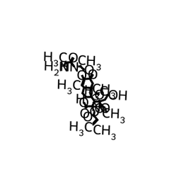 COC(=O)C1(C[C@@H](C)O)OC[C@]23C[C@@]4(C)CC(=O)C(OC(=O)[C@H](C)NC(=O)[C@H](C)N)=C(C)C4C[C@H]2OC(=O)[C@H](OC(=O)C=C(C)C)[C@@H]13